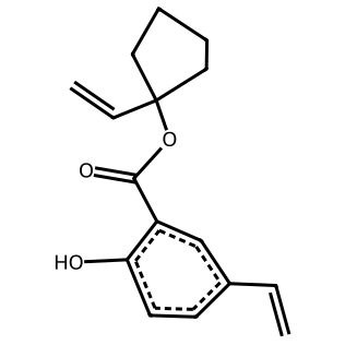 C=Cc1ccc(O)c(C(=O)OC2(C=C)CCCC2)c1